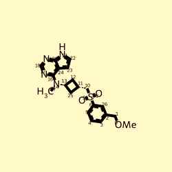 COCc1cccc(S(=O)(=O)C[C@H]2C[C@@H](N(C)c3ncnc4[nH]ccc34)C2)c1